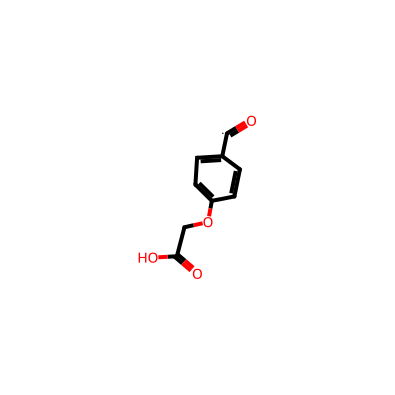 O=[C]c1ccc(OCC(=O)O)cc1